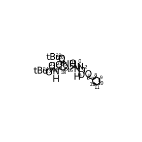 CN(CC(=O)OCc1ccccc1)NC(=O)C[C@H](CCNC(=O)OC(C)(C)C)NC(=O)OC(C)(C)C